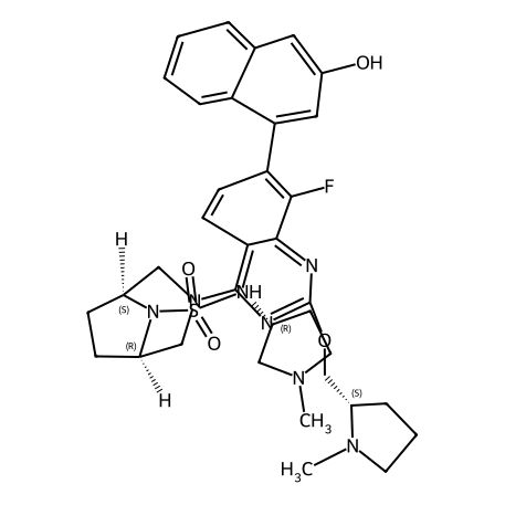 CN1CC[C@@H](NS(=O)(=O)N2[C@@H]3CC[C@H]2CN(c2nc(OC[C@@H]4CCCN4C)nc4c(F)c(-c5cc(O)cc6ccccc56)ccc24)C3)C1